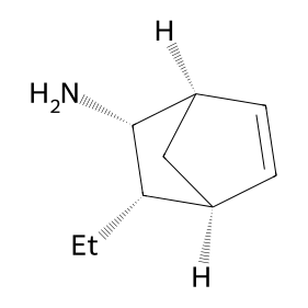 CC[C@@H]1[C@H](N)[C@H]2C=C[C@@H]1C2